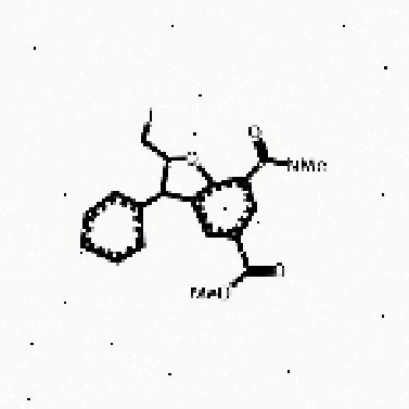 CNC(=O)c1cc(C(=O)OC)cc2c1OC(CI)C2c1ccccc1